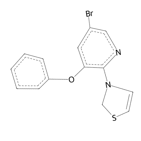 Brc1cnc(N2C=CSC2)c(Oc2ccccc2)c1